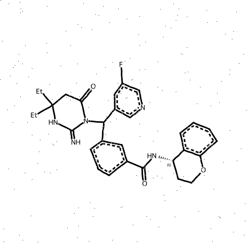 CCC1(CC)CC(=O)N(C(c2cncc(F)c2)c2cccc(C(=O)N[C@H]3CCOc4ccccc43)c2)C(=N)N1